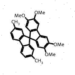 COc1cc2c(cc1OC)C1(c3cc(C)ccc3-c3ccc(C)cc31)c1cc(OC)c(OC)cc1-2